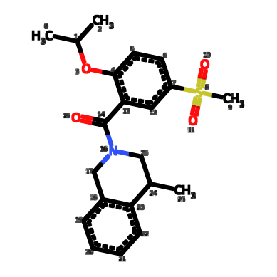 CC(C)Oc1ccc(S(C)(=O)=O)cc1C(=O)N1Cc2ccccc2C(C)C1